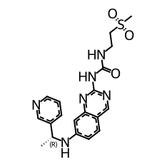 C[C@@H](Nc1ccc2cnc(NC(=O)NCCS(C)(=O)=O)nc2c1)c1cccnc1